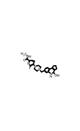 CNC(=O)c1ccc(N2CCN(Cc3ccc4c(c3)NC(O)C3=C4CCC3)CC2)c(F)n1